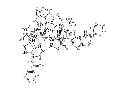 COc1ccc(C(OC[C@@]23CO[C@@H]([C@H](n4cnc5c(NC(=O)c6ccccc6)ncnc54)O2)[C@@H]3OP(=S)(OCCC#N)OC[C@@]23CO[C@@H]([C@H](n4cnc5c(NC(=O)c6ccccc6)ncnc54)O2)[C@@H]3O[PH](=O)O)(c2ccccc2)c2ccc(OC)cc2)cc1